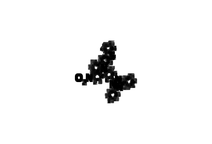 O=[N+]([O-])c1ccc(-c2cc(-c3nc(-c4ccccc4)nc(-c4ccccc4)n3)ccc2-n2c3ccccc3c3cc4c(cc32)sc2ccccc24)cc1